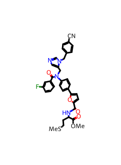 COC(=O)C(CCSC)NC(=O)c1ccc(-c2ccc(N(Cc3cncn3Cc3ccc(C#N)cc3)C(=O)c3cccc(F)c3)cc2)o1